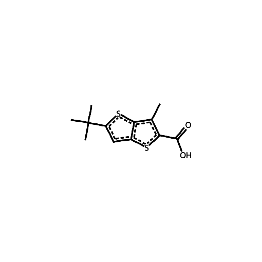 Cc1c(C(=O)O)sc2cc(C(C)(C)C)sc12